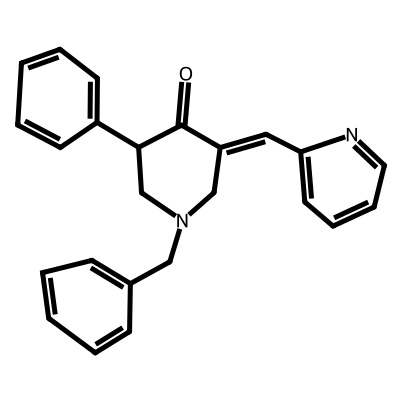 O=C1C(=Cc2ccccn2)CN(Cc2ccccc2)CC1c1ccccc1